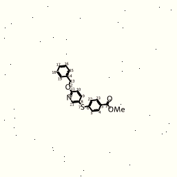 COC(=O)c1ccc(Sc2ccc(OCc3ccccc3)nc2)cc1